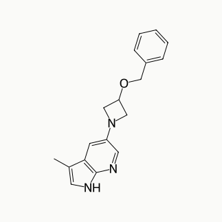 Cc1c[nH]c2ncc(N3CC(OCc4ccccc4)C3)cc12